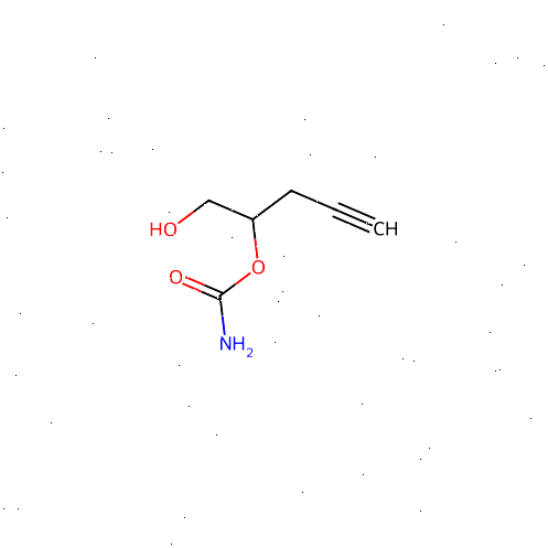 C#CCC(CO)OC(N)=O